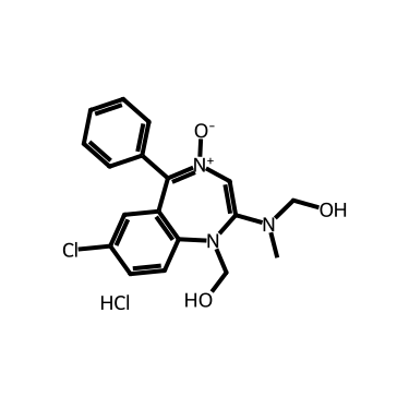 CN(CO)C1=C[N+]([O-])=C(c2ccccc2)c2cc(Cl)ccc2N1CO.Cl